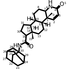 C[C@]12C=CC(=O)NC1CC[C@@H]1[C@H]2CC[C@]2(C)C(C(=O)NC34CC5CC(CC(C5)C3)C4)CC[C@@H]12